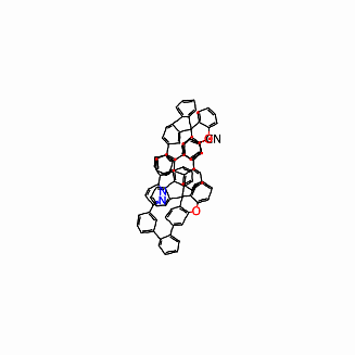 N#Cc1ccc(-c2ccccc2-c2ccccc2-c2ccc3c(c2)Oc2ccccc2C32c3ccccc3-c3ccc(-c4ccc(-c5ccc(-c6cccc(-c7ccccc7-c7ccc8c(c7)Oc7ccccc7C87c8ccccc8-c8ccccc87)c6)nn5)cc4)cc32)cc1